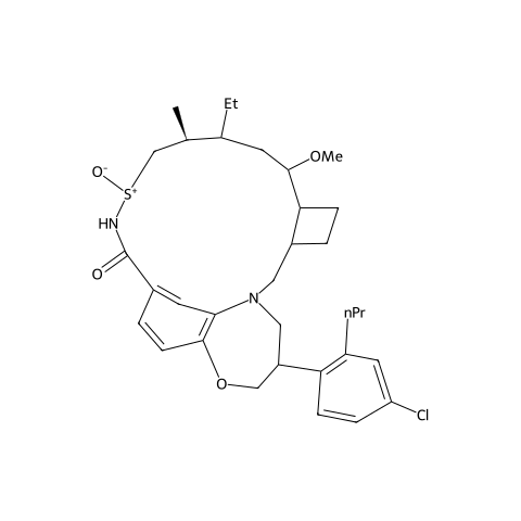 CCCc1cc(Cl)ccc1C1COc2ccc3cc2N(C1)CC1CCC1C(OC)CC(CC)[C@H](C)C[S+]([O-])NC3=O